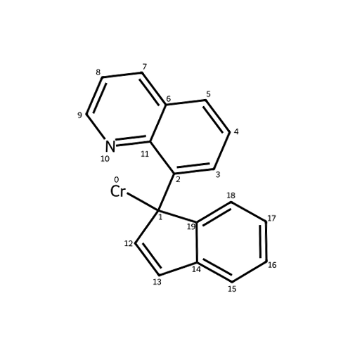 [Cr][C]1(c2cccc3cccnc23)C=Cc2ccccc21